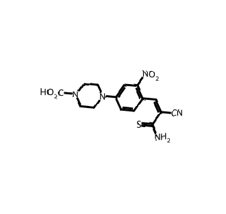 N#C/C(=C/c1ccc(N2CCN(C(=O)O)CC2)cc1[N+](=O)[O-])C(N)=S